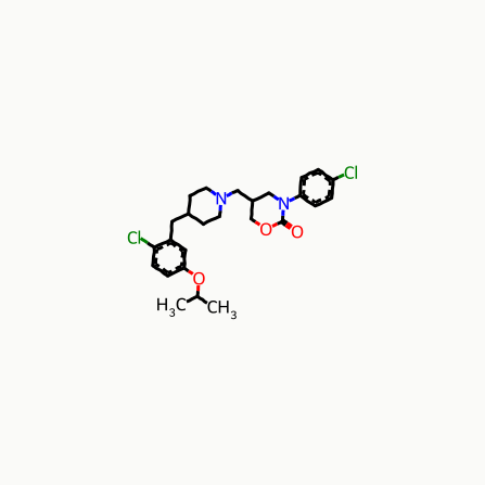 CC(C)Oc1ccc(Cl)c(CC2CCN(CC3COC(=O)N(c4ccc(Cl)cc4)C3)CC2)c1